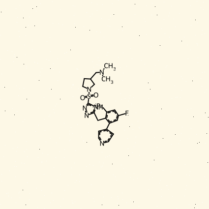 CC(C)c1cc(F)cc(-c2ccncc2)c1Cc1nnc(S(=O)(=O)N2CCC(CN(C)C)C2)[nH]1